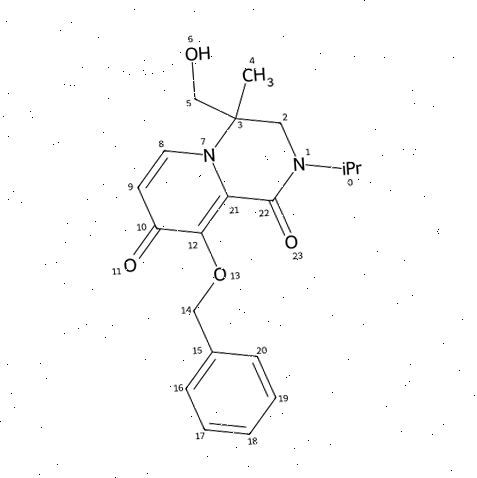 CC(C)N1CC(C)(CO)n2ccc(=O)c(OCc3ccccc3)c2C1=O